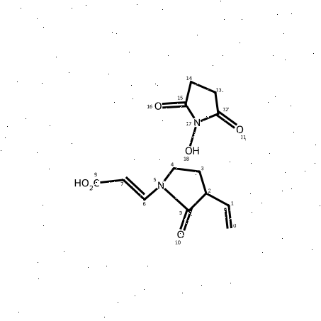 C=CC1CCN(C=CC(=O)O)C1=O.O=C1CCC(=O)N1O